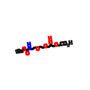 CC(C)(C)OC(=O)NCCOCCOCC(O)COCC(=O)O